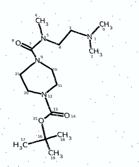 CN(C)CCN(C)C(=O)N1CCN(C(=O)OC(C)(C)C)CC1